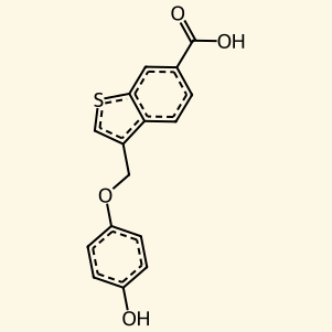 O=C(O)c1ccc2c(COc3ccc(O)cc3)csc2c1